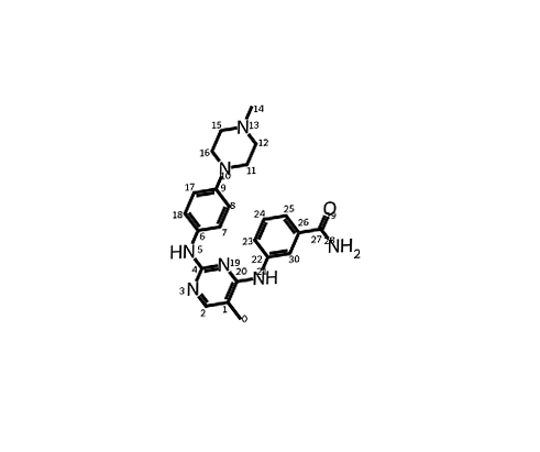 Cc1cnc(Nc2ccc(N3CCN(C)CC3)cc2)nc1Nc1cccc(C(N)=O)c1